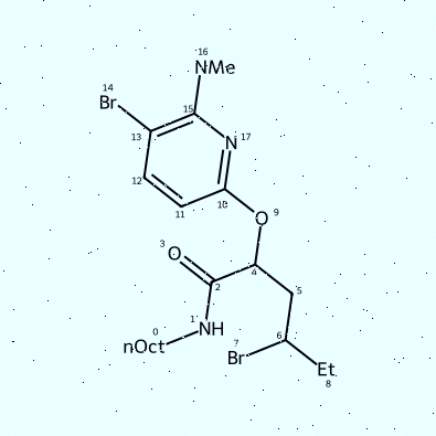 CCCCCCCCNC(=O)C(CC(Br)CC)Oc1ccc(Br)c(NC)n1